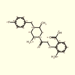 CC1CN(C(=O)COc2c(N)cccc2C(=O)O)C(C)CN1Cc1ccc(F)cc1